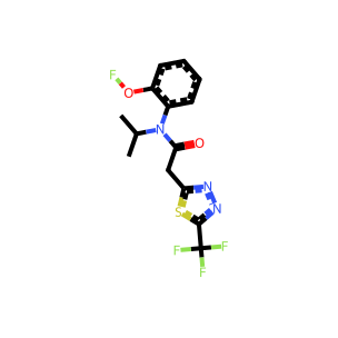 CC(C)N(C(=O)Cc1nnc(C(F)(F)F)s1)c1ccccc1OF